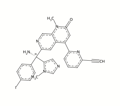 C#Cc1cccc(-c2cc(=O)n(C)c3cnc([C@](N)(c4ccc(I)cc4)c4cncn4C)cc23)n1